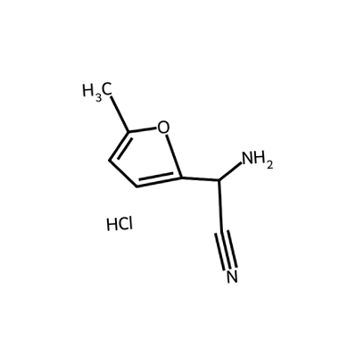 Cc1ccc(C(N)C#N)o1.Cl